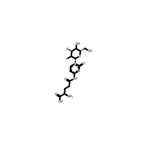 NC(CCC(=O)Nc1ccn([C@@H]2O[C@H](CO)C(O)[C@H](F)C2F)c(=O)n1)C(=O)O